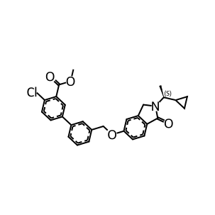 COC(=O)c1cc(-c2cccc(COc3ccc4c(c3)CN([C@@H](C)C3CC3)C4=O)c2)ccc1Cl